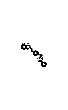 CCN(CCc1ccc(Nc2nc(-c3ccccc3)cs2)cc1)Cc1ccccc1